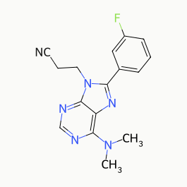 CN(C)c1ncnc2c1nc(-c1cccc(F)c1)n2CCC#N